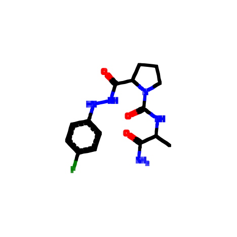 CC(NC(=O)N1CCCC1C(=O)NNc1ccc(F)cc1)C(N)=O